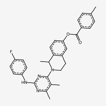 Cc1ccc(C(=O)Oc2ccc3c(c2)CCN(c2nc(Nc4ccc(F)cc4)nc(C)c2C)C3C)cc1